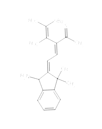 CCCC\C(C)=C(C)/C(=C\C=C1\C(N)c2ccccc2C1(C)C)C(C)=S